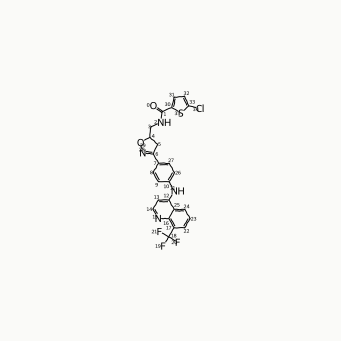 O=C(NCC1CC(c2ccc(Nc3ccnc4c(C(F)(F)F)cccc34)cc2)=NO1)c1ccc(Cl)s1